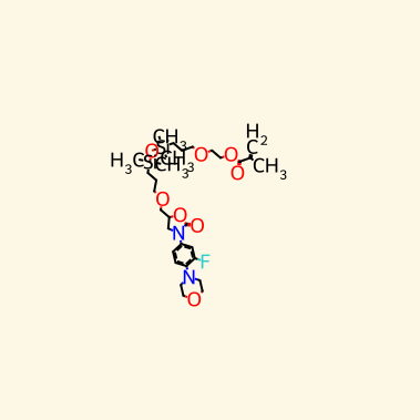 C=C(C)C(=O)OCCOCCC[Si](C)(C)O[Si](C)(C)CCCOCC1CN(c2ccc(N3CCOCC3)c(F)c2)C(=O)O1